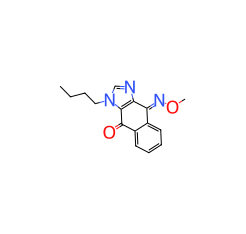 CCCCn1cnc2c1C(=O)c1ccccc1C2=NOC